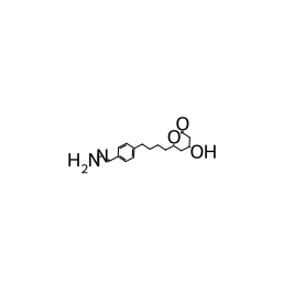 NN=Cc1ccc(CCCCC2CC(O)CC(=O)O2)cc1